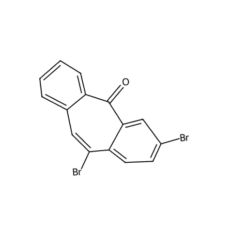 O=c1c2ccccc2cc(Br)c2ccc(Br)cc12